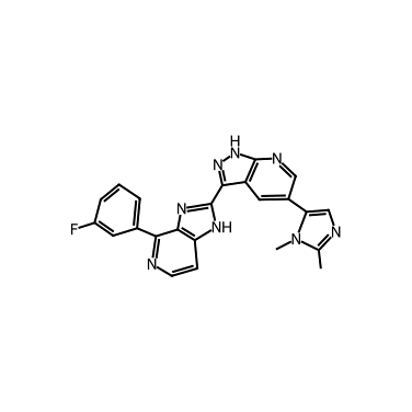 Cc1ncc(-c2cnc3[nH]nc(-c4nc5c(-c6cccc(F)c6)nccc5[nH]4)c3c2)n1C